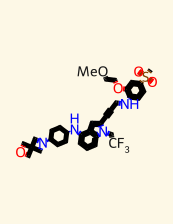 COCCOc1cc(S(C)(=O)=O)ccc1NCC#Cc1cc2c(N[C@H]3CC[C@H](N4CC5(COC5)C4)CC3)cccc2n1CC(F)(F)F